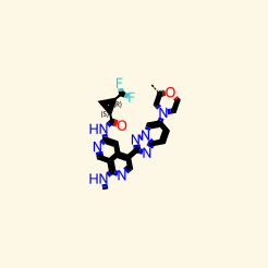 CNc1ncc(-c2nc3ccc(N4CCO[C@@H](C)C4)cn3n2)c2cc(NC(=O)[C@H]3C[C@H]3C(F)F)ncc12